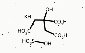 O=C(O)CC(O)(CC(=O)O)C(=O)O.O=S(=O)(O)O.[KH]